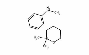 C[SiH2]c1ccccc1.C[Si]1(C)CCCCO1